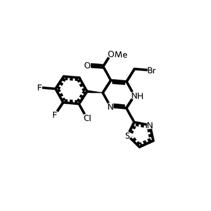 COC(=O)C1=C(CBr)NC(c2nccs2)=N[C@H]1c1ccc(F)c(F)c1Cl